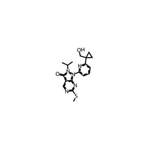 CSc1ncc2c(=O)n(C(C)C)n(-c3cccc(C4(CO)CC4)n3)c2n1